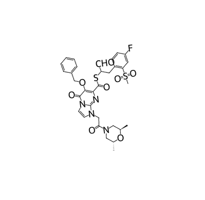 C[C@@H]1CN(C(=O)Cn2ccn3c(=O)c(OCc4ccccc4)c(C(=O)SC(C=O)Cc4ccc(F)cc4S(C)(=O)=O)nc23)C[C@@H](C)O1